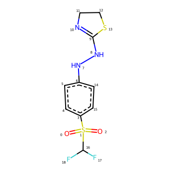 O=S(=O)(c1ccc(NNC2=NCCS2)cc1)C(F)F